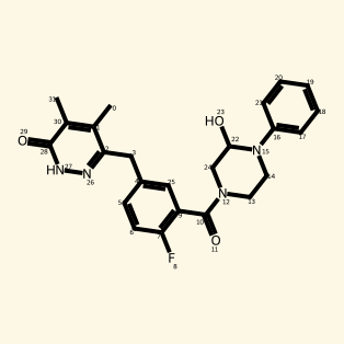 Cc1c(Cc2ccc(F)c(C(=O)N3CCN(c4ccccc4)C(O)C3)c2)n[nH]c(=O)c1C